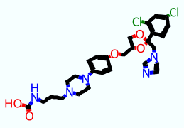 O=C(O)NCCCN1CCN(c2ccc(OCC3COC(Cn4ccnc4)(c4ccc(Cl)cc4Cl)O3)cc2)CC1